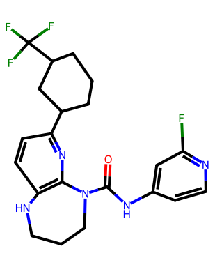 O=C(Nc1ccnc(F)c1)N1CCCNc2ccc(C3CCCC(C(F)(F)F)C3)nc21